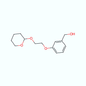 OCc1cccc(OCCOC2CCCCO2)c1